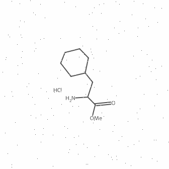 COC(=O)C(N)CC1CCCCC1.Cl